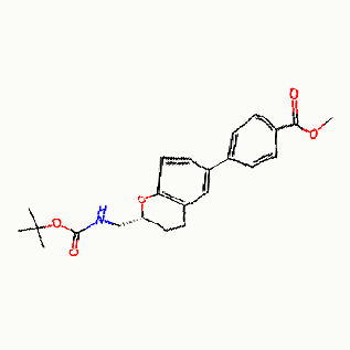 COC(=O)c1ccc(-c2ccc3c(c2)CC[C@H](CNC(=O)OC(C)(C)C)O3)cc1